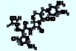 C[C@H](O/N=C(\C(=O)NC1C(=O)N2C(C=O)=C(C[n+]3ccc(N)c(N)c3)CSC12)c1nc(N)sc1Cl)C(=O)O